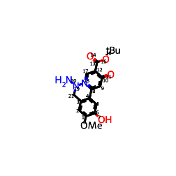 COc1cc2c(cc1O)-c1cc(=O)c(C(=O)OC(C)(C)C)cn1N(N)C2